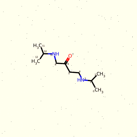 CC(C)NCCC(=O)CNC(C)C